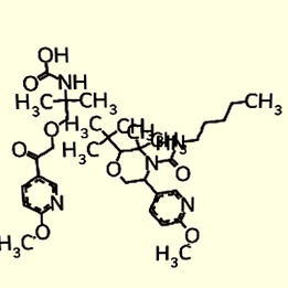 CCCCCNC(=O)N1C(c2ccc(OC)nc2)COC(C(C)(C)C)C1(C)C.COc1ccc(C(=O)COCC(C)(C)NC(=O)O)cn1